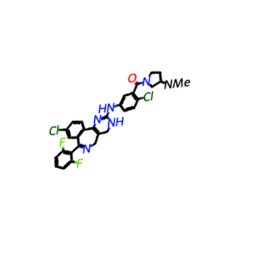 CNC1CCN(C(=O)c2cc(NC3=NC4=C(CN=C(c5c(F)cccc5F)c5cc(Cl)ccc54)CN3)ccc2Cl)C1